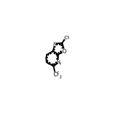 FC(F)(F)c1ccc2nc(Cl)oc2n1